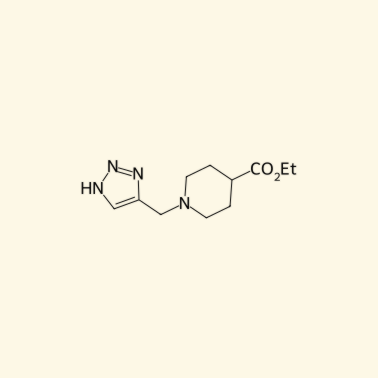 CCOC(=O)C1CCN(Cc2c[nH]nn2)CC1